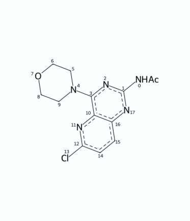 CC(=O)Nc1nc(N2CCOCC2)c2nc(Cl)ccc2n1